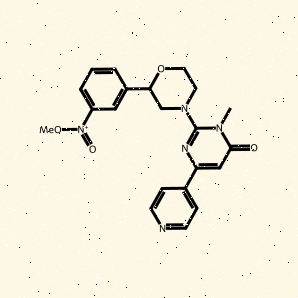 CO[N+](=O)c1cccc(C2CN(c3nc(-c4ccncc4)cc(=O)n3C)CCO2)c1